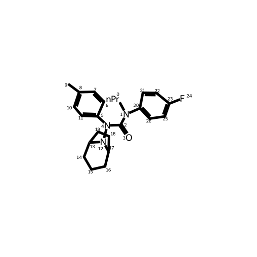 CCCN(C(=O)N(c1ccc(C)cc1)N1C2CCCC1CC2)c1ccc(F)cc1